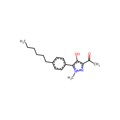 CCCCCCc1ccc(-c2c(O)c(C(C)=O)nn2C)cc1